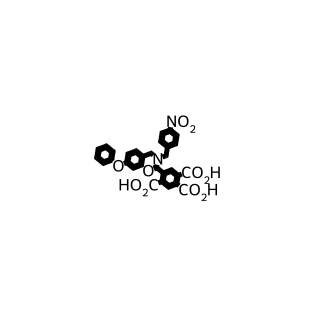 O=C(O)c1cc(C(=O)O)c(C(=O)N(Cc2ccc(Oc3ccccc3)cc2)Cc2ccc([N+](=O)[O-])cc2)cc1C(=O)O